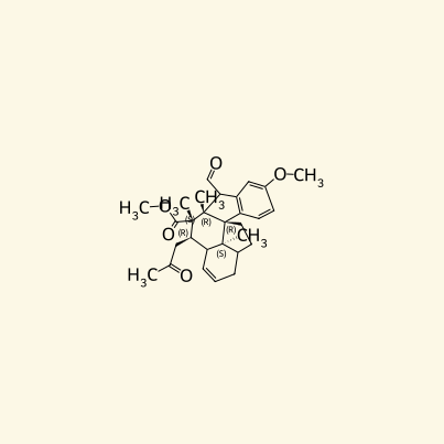 COC(=O)[C@@]1(C)[C@H](CC(C)=O)C2C=CCC3CC[C@@]4(c5ccc(OC)cc5C(C=O)[C@]41C)[C@@]32C